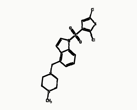 CN1CCN(Cc2cccc3c2ccn3S(=O)(=O)c2cc(Cl)sc2Cl)CC1